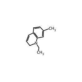 CCN1CC=Cc2ccc(C)cc21